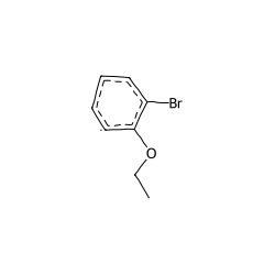 CCOc1[c]cccc1Br